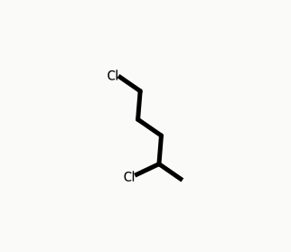 CC(Cl)CCCCl